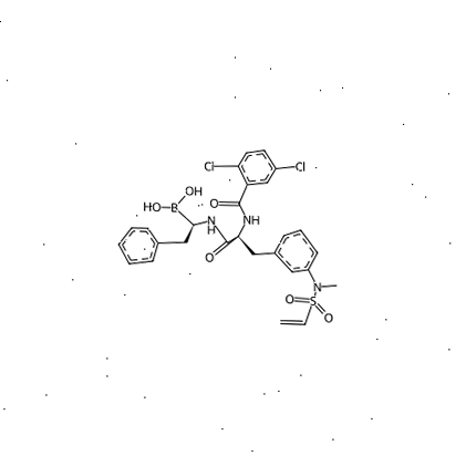 C=CS(=O)(=O)N(C)c1cccc(C[C@H](NC(=O)c2cc(Cl)ccc2Cl)C(=O)N[C@@H](Cc2ccccc2)B(O)O)c1